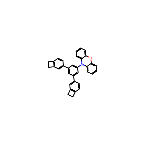 c1ccc2c(c1)Oc1ccccc1N2c1cc(-c2ccc3c(c2)CC3)cc(-c2ccc3c(c2)CC3)c1